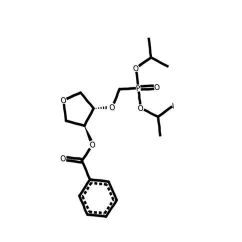 CC(C)OP(=O)(CO[C@H]1COC[C@@H]1OC(=O)c1ccccc1)OC(C)I